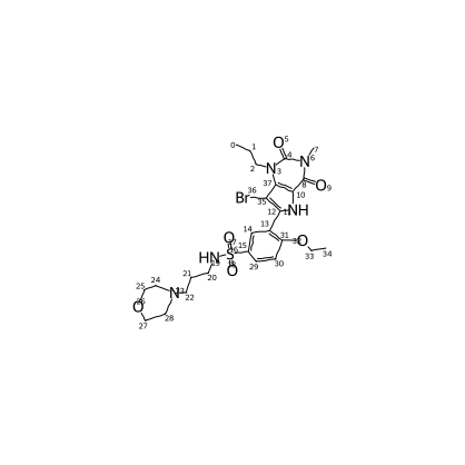 CCCn1c(=O)n(C)c(=O)c2[nH]c(-c3cc(S(=O)(=O)NCCCN4CCOCC4)ccc3OCC)c(Br)c21